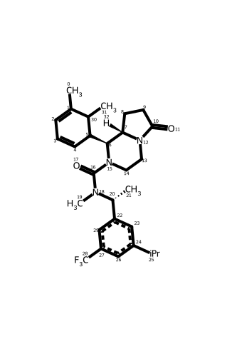 CC1=CC=CC([C@H]2[C@@H]3CCC(=O)N3CCN2C(=O)N(C)[C@H](C)c2cc(C(C)C)cc(C(F)(F)F)c2)C1C